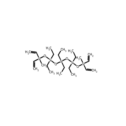 C=C[Si](C)(C=C)O[Si](CC)(CC)O[Si](CC)(CC)O[Si](CC)(CC)O[Si](C)(C=C)C=C